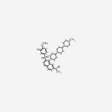 CN1CCN(C2CCN(C3CCN(c4c(S(=O)(=O)c5ccc(OC(C)(C)C)c(F)c5)cnc5ccc([S+](C)[O-])cc45)CC3)CC2)CC1